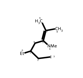 CCC(CI)CC(NC)=C(C)C